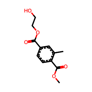 COC(=O)c1ccc(C(=O)OCCO)cc1C